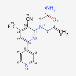 C=CCN(CC(N)=O)c1nc(-c2ccncc2)cc(C(F)(F)F)c1C#N